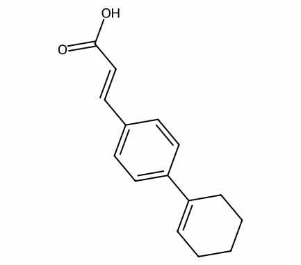 O=C(O)C=Cc1ccc(C2=CCCCC2)cc1